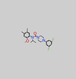 COc1cc(C)c(C)cc1N(C(=O)N1CCN(c2cc(F)cc(F)c2)CC1)C(C)C